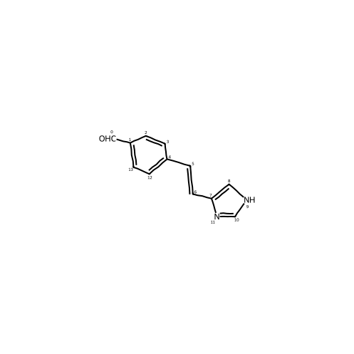 O=Cc1ccc(C=Cc2c[nH]cn2)cc1